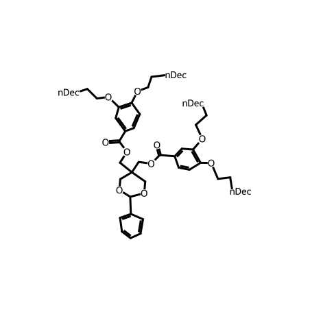 CCCCCCCCCCCCOc1ccc(C(=O)OCC2(COC(=O)c3ccc(OCCCCCCCCCCCC)c(OCCCCCCCCCCCC)c3)COC(c3ccccc3)OC2)cc1OCCCCCCCCCCCC